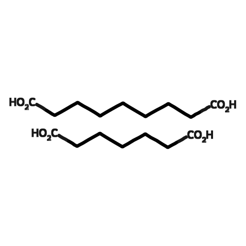 O=C(O)CCCCCC(=O)O.O=C(O)CCCCCCCC(=O)O